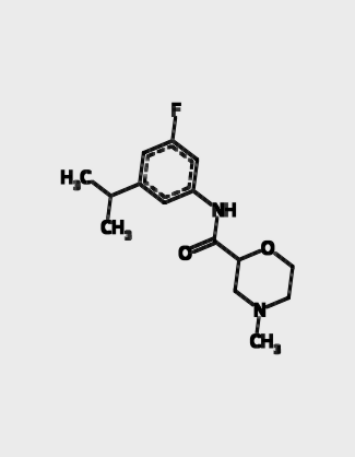 CC(C)c1cc(F)cc(NC(=O)C2CN(C)CCO2)c1